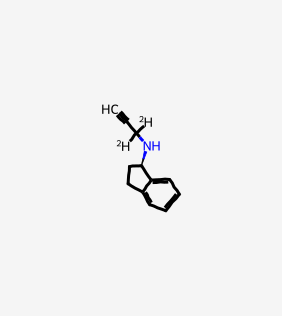 [2H]C([2H])(C#C)N[C@@H]1CCc2ccccc21